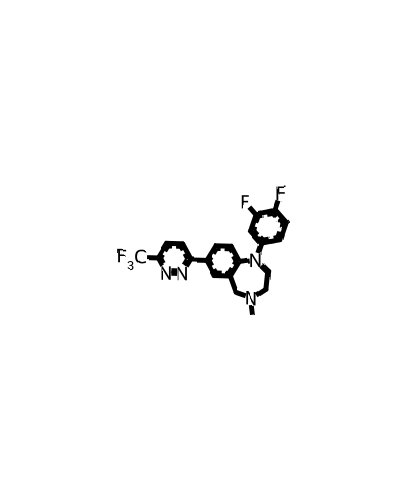 CN1CCN(c2ccc(F)c(F)c2)c2ccc(-c3ccc(C(F)(F)F)nn3)cc2C1